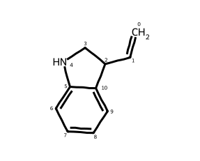 C=CC1CNc2ccccc21